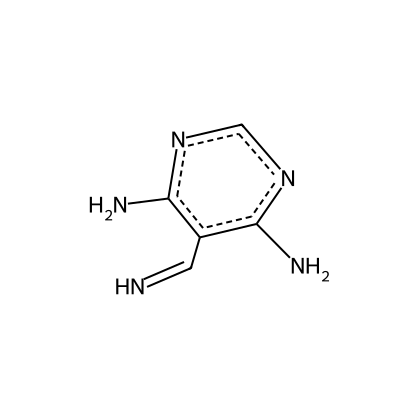 N=Cc1c(N)ncnc1N